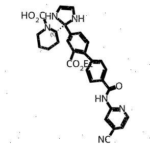 CCOC(=O)c1cc(C2([C@@H]3CCCCN3C(=O)O)NC=CN2)ccc1-c1ccc(C(=O)Nc2cc(C#N)ccn2)cc1